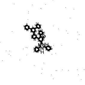 c1ccc(-c2cc(-c3ccccc3)cc(-c3cccc(-c4cc(C5=NC(c6ccccc6)NC(c6ccccc6)N5)cc5oc6ccccc6c45)c3)c2)cc1